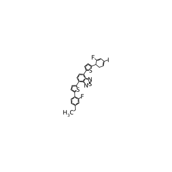 CCc1ccc(-c2ccc(-c3ccc(-c4ccc(C5CC=C(I)C=C5F)s4)c4nsnc34)s2)c(F)c1